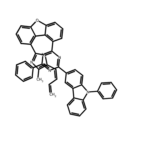 C=C/C=C\c1sc(-c2cccc3oc4cccc(-c5nc(-c6ccccc6)nc(-c6ccc7c(c6)c6ccccc6n7-c6ccccc6)n5)c4c23)nc1C